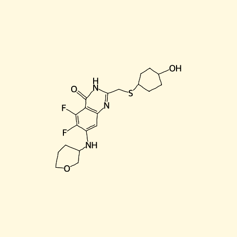 O=c1[nH]c(CSC2CCC(O)CC2)nc2cc(NC3CCCOC3)c(F)c(F)c12